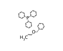 CC=COCc1ccccc1.c1ccc(P(c2ccccc2)c2ccccc2)cc1